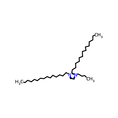 CCCCCCCCCCCCCCC[n+]1ccn(CCCC)c1CCCCCCCCCCCCCC